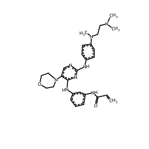 C=CC(=O)Nc1cccc(Nc2nc(Nc3ccc(N(C)CCN(C)C)cc3)ncc2N2CCOCC2)c1